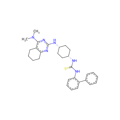 CN(C)c1nc(N[C@H]2CC[C@@H](NC(=S)Nc3ccccc3-c3ccccc3)CC2)nc2c1CCCC2